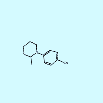 CC1CCCCN1c1ccc(C#N)cc1